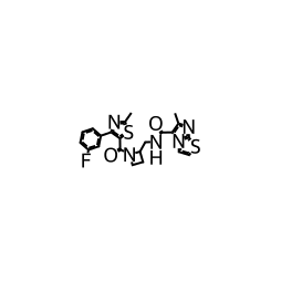 Cc1nc(-c2cccc(F)c2)c(C(=O)N2CCC2CNC(=O)c2c(C)nc3sccn23)s1